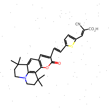 [C-]#[N+]/C(=C\c1ccc(/C=C/c2cc3cc4c5c(c3oc2=O)C(C)(C)CCN5CCC4(C)C)s1)C(=O)O